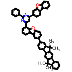 CC1(C)c2ccccc2-c2cc3c(cc21)-c1ccc(-c2ccc4oc5c(-c6cc(-c7ccc8c(c7)oc7ccccc78)nc(-c7ccccc7)n6)cccc5c4c2)cc1C3(C)C